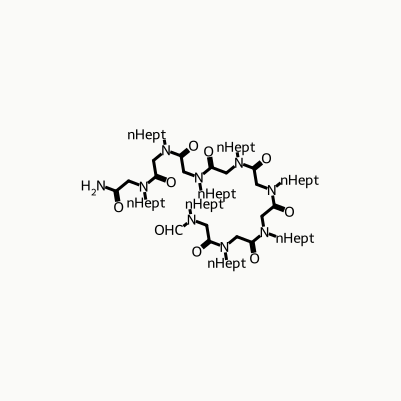 CCCCCCCN(C=O)CC(=O)N(CCCCCCC)CC(=O)N(CCCCCCC)CC(=O)N(CCCCCCC)CC(=O)N(CCCCCCC)CC(=O)N(CCCCCCC)CC(=O)N(CCCCCCC)CC(=O)N(CCCCCCC)CC(N)=O